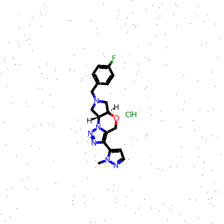 Cl.Cn1nccc1-c1nnn2c1CO[C@@H]1CN(Cc3ccc(F)cc3)C[C@H]12